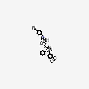 N#Cc1ccc(/C=N/NC(=O)CSc2nnc(-c3ccc4c(c3)OCO4)n2-c2ccccc2)cc1